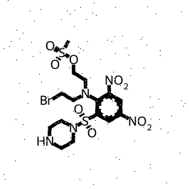 CS(=O)(=O)OCCN(CCBr)c1c([N+](=O)[O-])cc([N+](=O)[O-])cc1S(=O)(=O)N1CCNCC1